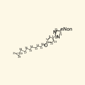 CCCCCCCCCc1cnc(-c2ccc(OCCCCCCCCCC3CC3)cc2)nc1